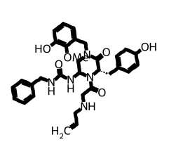 C=CCNCC(=O)N1C(NC(=O)NCc2ccccc2)CN(Cc2cccc(O)c2OC)C(=O)[C@@H]1CC1=CCC(O)C=C1